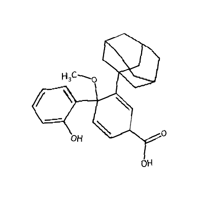 COC1(c2ccccc2O)C=CC(C(=O)O)C=C1C12CC3CC(CC(C3)C1)C2